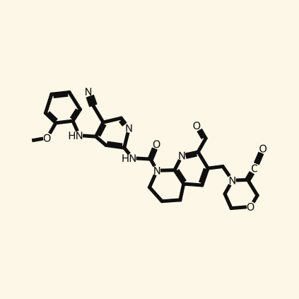 COc1ccccc1Nc1cc(NC(=O)N2CCCc3cc(CN4CCOCC4=C=O)c(C=O)nc32)ncc1C#N